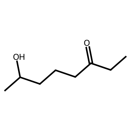 CCC(=O)CCCC(C)O